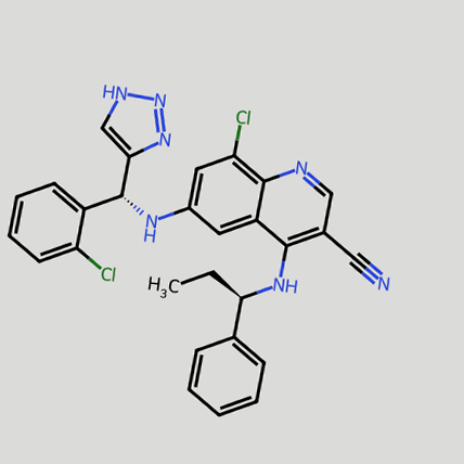 CC[C@@H](Nc1c(C#N)cnc2c(Cl)cc(N[C@@H](c3c[nH]nn3)c3ccccc3Cl)cc12)c1ccccc1